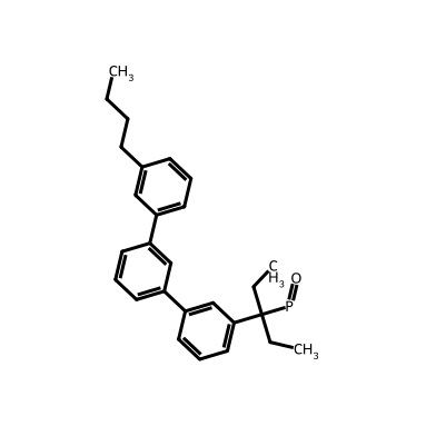 CCCCc1cccc(-c2cccc(-c3cccc(C(CC)(CC)P=O)c3)c2)c1